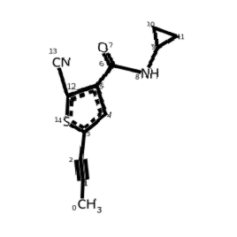 CC#Cc1cc(C(=O)NC2CC2)c(C#N)s1